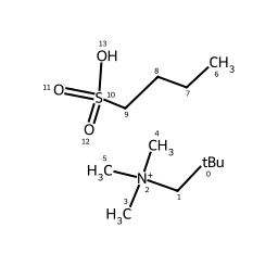 CC(C)(C)C[N+](C)(C)C.CCCCS(=O)(=O)O